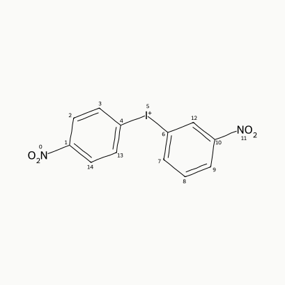 O=[N+]([O-])c1ccc([I+]c2cccc([N+](=O)[O-])c2)cc1